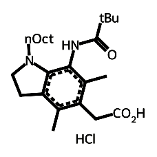 CCCCCCCCN1CCc2c(C)c(CC(=O)O)c(C)c(NC(=O)C(C)(C)C)c21.Cl